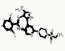 CCS(=O)(=O)N1CCN(c2cc3c(cn2)NC(c2c(F)cccc2F)=Nc2c(C)n[nH]c2-3)CC1